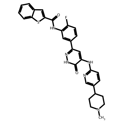 CN1CCC(c2ccc(Nc3cc(-c4ccc(F)c(NC(=O)c5cc6ccccc6s5)c4)n[nH]c3=O)nc2)CC1